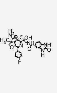 C[C@]1(C(N)=O)COc2c1cc([C@@](O)(CNC(=O)c1ccc3[nH]c(=O)[nH]c3c1)C(F)(F)F)nc2-c1ccc(F)cc1